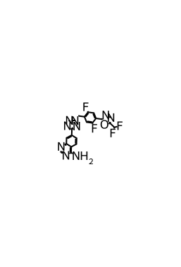 Nc1ncnc2cc(-c3nnn(Cc4cc(F)c(-c5nnc(C(F)F)o5)cc4F)n3)ccc12